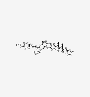 COc1cc2c(Oc3ccc(NC(=S)NC(=O)Cc4ccccc4)cc3F)ccnc2cc1OCCCN1CCC(CO)CC1